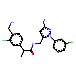 CC(C(=O)NCc1cc(C(F)(F)F)nn1-c1cccc(Cl)c1)c1ccc(CN)c(F)c1